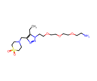 CCc1c(CN2CCS(=O)(=O)CC2)nnn1CCOCCOCCOCCN